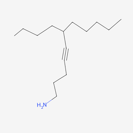 CCCCCC(C#CCCCN)CCCC